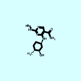 CCCCNc1ncc(C(N)=O)c(N[C@@H]2CC[C@@H](C)[C@H](O)C2)n1